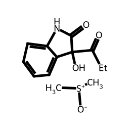 CCC(=O)C1(O)C(=O)Nc2ccccc21.C[S+](C)[O-]